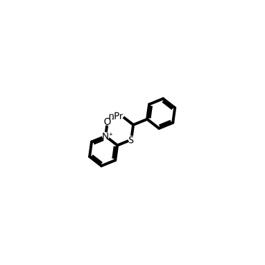 CCCC(Sc1cccc[n+]1[O-])c1ccccc1